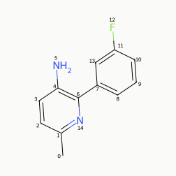 Cc1ccc(N)c(-c2cccc(F)c2)n1